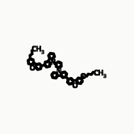 CCCCCOc1ccc2oc3ccc(-c4ccc5c(c4)c4ccccc4n5-c4cccc(-n5c6ccccc6c6cc(-c7ccc8oc9ccc(CCCC)cc9c8c7)ccc65)c4)cc3c2c1